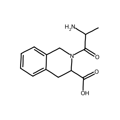 CC(N)C(=O)N1Cc2ccccc2CC1C(=O)O